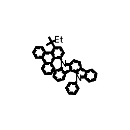 CCC(C)(C)c1ccc(-n2c3ccccc3c3c2ccc2c4ccccc4n(-c4ccccc4)c23)c2c3ccccc3c3ccccc3c12